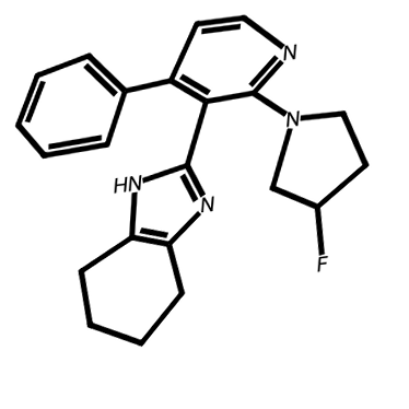 FC1CCN(c2nccc(-c3ccccc3)c2-c2nc3c([nH]2)CCCC3)C1